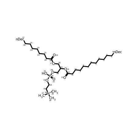 CCCCCCCCCCCCCCCCCCCCCC(=O)OC(COC(=O)CCCCCCCCCCCCCCCCC)COP(=O)(O)OCC[N+](C)(C)C